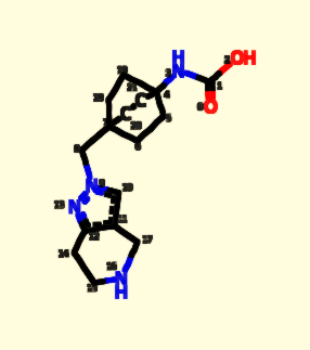 O=C(O)NC12CCC(Cn3cc4c(n3)CCNC4)(CC1)CC2